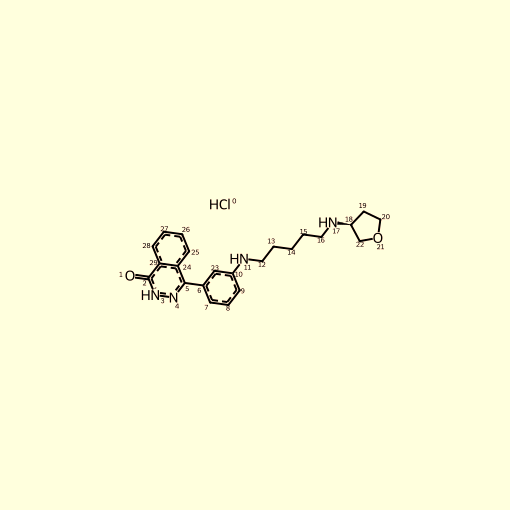 Cl.O=c1[nH]nc(-c2cccc(NCCCCCN[C@H]3CCOC3)c2)c2ccccc12